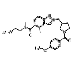 COCCNC(=O)c1ccc2nn(CC3CCN(C(=O)c4ccc(OC(F)(F)F)cc4)C3)cc2c1C